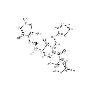 O=C(NCc1c(F)cc(F)cc1F)c1cn2c(c(OCc3ccccc3)c1=O)C(=O)N1C[C@@H]3CC[C@]1(C3)C2